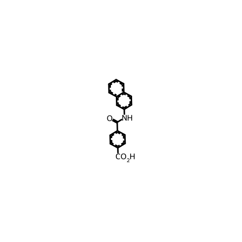 O=C(O)c1ccc(C(=O)Nc2ccc3ccccc3c2)cc1